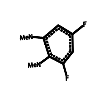 CNc1cc(F)cc(F)c1NC